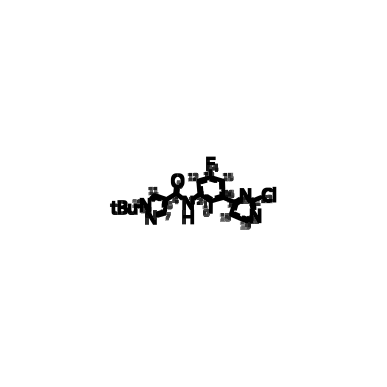 Cc1c(NC(=O)c2cnn(C(C)(C)C)c2)cc(F)cc1-c1ccnc(Cl)n1